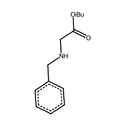 CC(C)COC(=O)CNCc1ccccc1